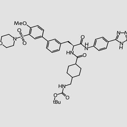 COc1ccc(-c2cccc(C[C@H](NC(=O)C3CCC(CNC(=O)OC(C)(C)C)CC3)C(=O)Nc3ccc(-c4nnn[nH]4)cc3)c2)cc1S(=O)(=O)N1CCOCC1